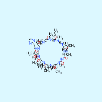 CCC1NC(=O)[C@H]([C@H](O)[C@H](C)CCCc2ncccn2)N(C)C(=O)C(C(C)C)N(C)C(=O)[C@@H](CC(C)C)N(C)C(=O)[C@@H](CC(C)C)N(C)C(=O)NC(=O)[C@@H](C)NC(=O)C(CC(C)C)N(C)CNC(=O)[C@H](CC(C)C)N(C)C(=O)CN(C)C1=O